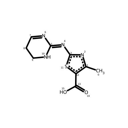 Cc1nc(N=C2N=CCCN2)sc1C(=O)O